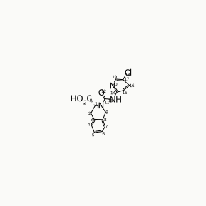 O=C(O)[C@H]1Cc2ccccc2CN1C(=O)Nc1ccc(Cl)cn1